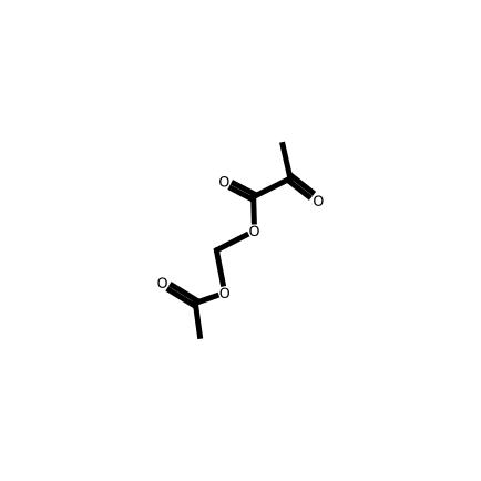 CC(=O)OCOC(=O)C(C)=O